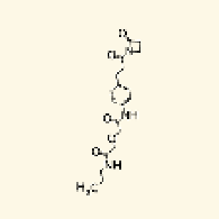 CCCNC(=O)COCC(=O)Nc1ccc(CCC(=O)N2CCC2=O)cc1